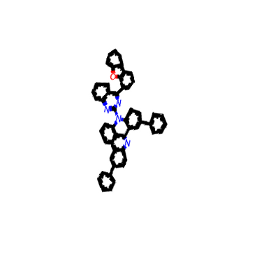 c1ccc(-c2ccc3c(c2)-c2nc4ccc(-c5ccccc5)cc4c4cccc(c24)N3c2nc(-c3cccc4c3oc3ccccc34)c3ccccc3n2)cc1